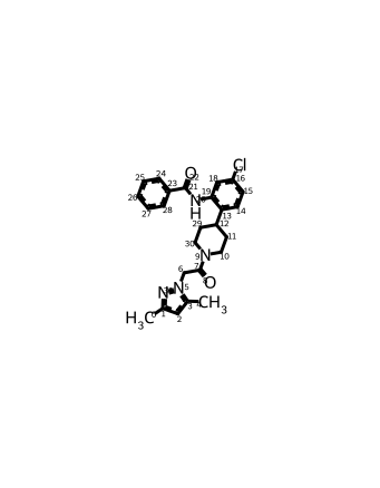 Cc1cc(C)n(CC(=O)N2CCC(c3ccc(Cl)cc3NC(=O)c3ccccc3)CC2)n1